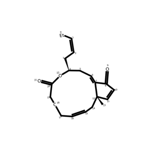 CC/C=C\C[C@H]1C/C=C2/C(=O)C=C[C@]2(C)C/C=C\CCCC(=O)O1